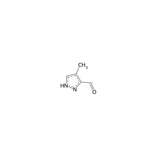 Cc1c[nH]nc1[C]=O